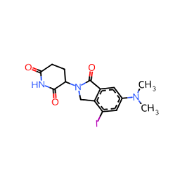 CN(C)c1cc(I)c2c(c1)C(=O)N(C1CCC(=O)NC1=O)C2